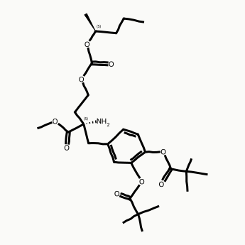 CCC[C@H](C)OC(=O)OCC[C@@](N)(Cc1ccc(OC(=O)C(C)(C)C)c(OC(=O)C(C)(C)C)c1)C(=O)OC